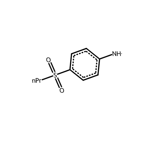 CCCS(=O)(=O)c1ccc([NH])cc1